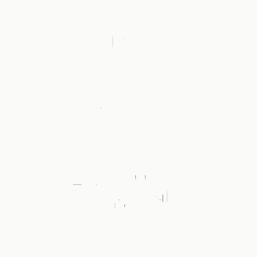 OC(O)(CCc1ccc(F)cc1)O[SiH3]